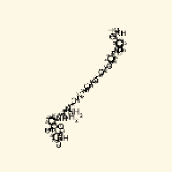 N/C(=C\N(N)CCOCCOCCOCCOCCOCCOc1ccc(Cn2ccc3ccc(C(=O)NO)cc32)cc1)CNc1cccc2c1C(=O)N(C1CCC(=O)NC1=O)C2=O